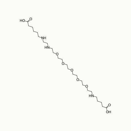 O=C(O)CCCCCNCCNCCOCCOCCOCCOCCOCCNCCCCC(=O)O